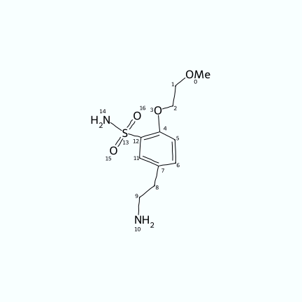 COCCOc1ccc(CCN)cc1S(N)(=O)=O